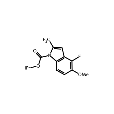 COc1ccc2c(cc(C(F)(F)F)n2C(=O)OC(C)C)c1F